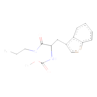 CC(C)(C)OC(=O)NC(Cc1csc2ccccc12)C(=O)NCCC#N